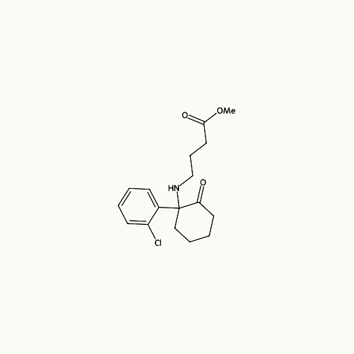 COC(=O)CCCNC1(c2ccccc2Cl)CCCCC1=O